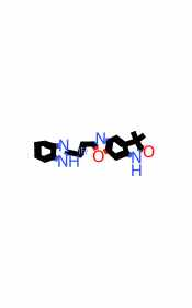 CC1(C)C(=O)Nc2cc3oc(/C=C/c4nc5ccccc5[nH]4)nc3cc21